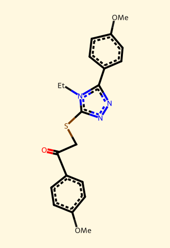 CCn1c(SCC(=O)c2ccc(OC)cc2)nnc1-c1ccc(OC)cc1